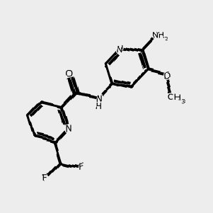 COc1cc(NC(=O)c2cccc(C(F)F)n2)cnc1N